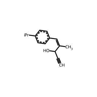 C#CC(O)C(C)=Cc1ccc(C(C)C)cc1